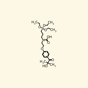 CCO[Si](CCCN(CCOc1ccc(C(=O)C(C)(C)O)cc1)C(=O)O)(OCC)OCC